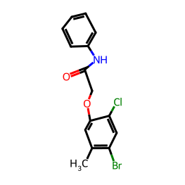 Cc1cc(OCC(=O)Nc2ccccc2)c(Cl)cc1Br